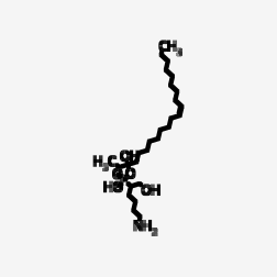 CCCCCCCC/C=C\CCCCCCCCC(O)(CC)OP(=O)(O)C(CO)CCCCN